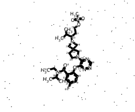 CCN(C(=O)c1cc(F)ccc1Oc1nncnc1N1CCC2(C1)CN(C(CCOS(C)(=O)=O)C(C)C)C2)C(C)C